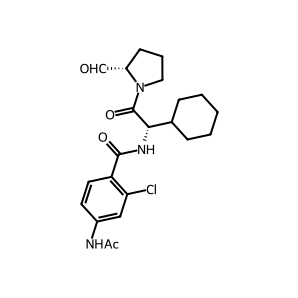 CC(=O)Nc1ccc(C(=O)N[C@H](C(=O)N2CCC[C@H]2C=O)C2CCCCC2)c(Cl)c1